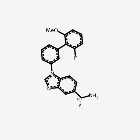 COc1cccc(F)c1-c1cccc(-n2cnc3cc([C@@H](C)N)ccc32)c1